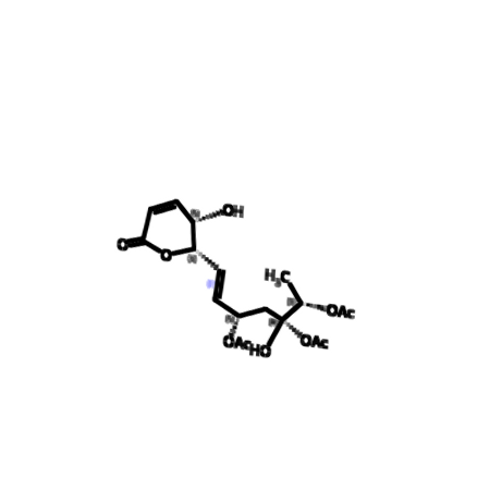 CC(=O)O[C@H](/C=C/[C@@H]1OC(=O)C=C[C@@H]1O)C[C@@](O)(OC(C)=O)[C@H](C)OC(C)=O